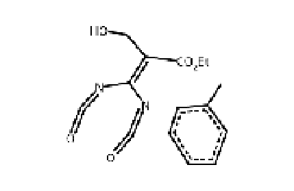 CCOC(=O)C(CO)=C(N=C=O)N=C=O.Cc1ccccc1